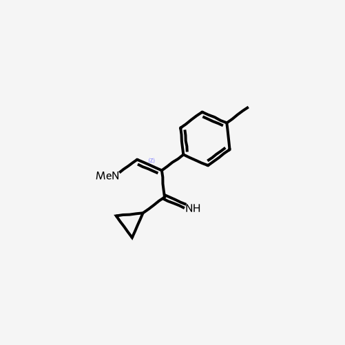 CN/C=C(\C(=N)C1CC1)c1ccc(C)cc1